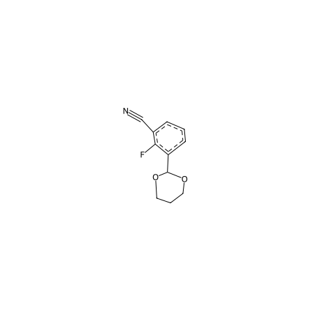 N#Cc1cccc(C2OCCCO2)c1F